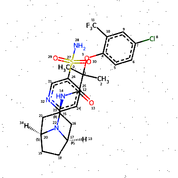 CC(C)(Oc1ccc(Cl)cc1C(F)(F)F)C(=O)N[C@H]1C[C@H]2CC[C@@H](C1)N2c1ccc(S(N)(=O)=O)cn1